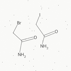 NC(=O)CBr.NC(=O)CI